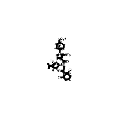 CC1(C)[C@@H]2CC(N(CC(=O)c3c(Cl)cccc3Cl)C(=O)c3cnn(C45CCC(C(=O)O)(CC4)CC5)c3C(F)(F)F)C[C@@H]21